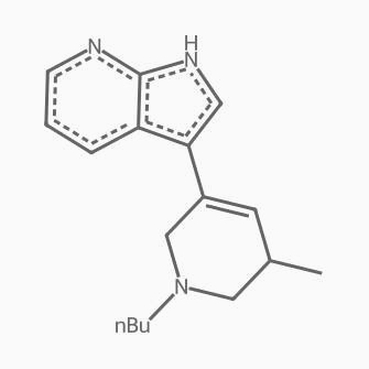 CCCCN1CC(c2c[nH]c3ncccc23)=CC(C)C1